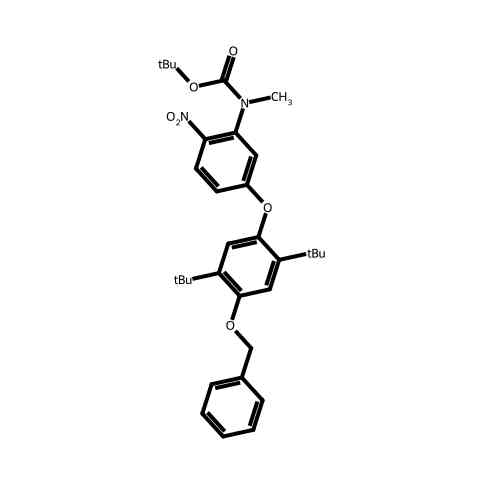 CN(C(=O)OC(C)(C)C)c1cc(Oc2cc(C(C)(C)C)c(OCc3ccccc3)cc2C(C)(C)C)ccc1[N+](=O)[O-]